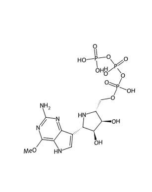 COc1nc(N)nc2c([C@@H]3N[C@H](COP(=O)(O)OP(=O)(O)OP(=O)(O)O)[C@@H](O)[C@H]3O)c[nH]c12